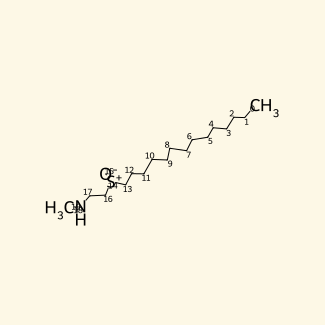 CCCCCCCCCCCCCC[S+]([O-])CCNC